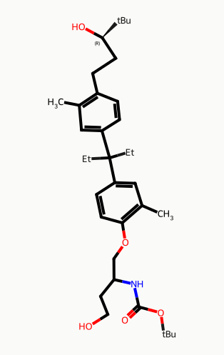 CCC(CC)(c1ccc(CC[C@@H](O)C(C)(C)C)c(C)c1)c1ccc(OCC(CCO)NC(=O)OC(C)(C)C)c(C)c1